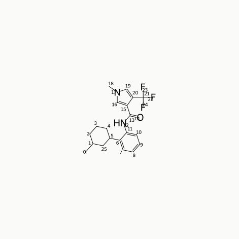 CC1CCCC(c2ccccc2NC(=O)c2cn(C)cc2C(F)(F)F)C1